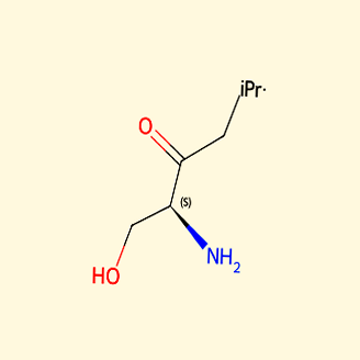 C[C](C)CC(=O)[C@@H](N)CO